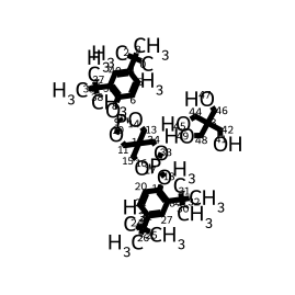 CC(C)(C)c1ccc(OP2OCC3(CO2)COP(Oc2ccc(C(C)(C)C)cc2C(C)(C)C)OC3)c(C(C)(C)C)c1.OCC(CO)(CO)CO